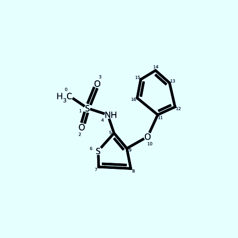 CS(=O)(=O)Nc1sccc1Oc1ccccc1